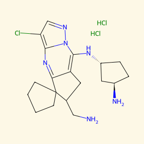 Cl.Cl.NCC1Cc2c(nc3c(Cl)cnn3c2N[C@@H]2CC[C@@H](N)C2)C12CCCC2